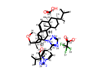 CC(C)[C@@H](C)[C@@]1(C)CC[C@]2(C)[C@H]3CC[C@@H]4[C@@]5(COC[C@@]4(C)[C@@H](OC[C@](C)(N)C(C)C)[C@H](n4ncnc4-[c+]4ccn(C)cc4)C5)C3=CC[C@@]2(C)[C@@H]1C(=O)O.O=C([O-])C(F)(F)F